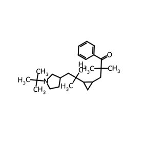 CC(C)(CC1CC1C(C)(C)CC1CCN(C(C)(C)C)C1)C(=O)c1ccccc1